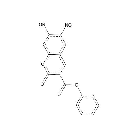 O=Nc1cc2cc(C(=O)Oc3ccccc3)c(=O)oc2cc1N=O